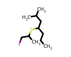 CCCC(CC(C)C)SC(C)CI